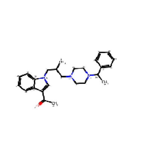 CC(=O)c1cn(CC(C)CN2CCN(C(C)c3ccccc3)CC2)c2ccccc12